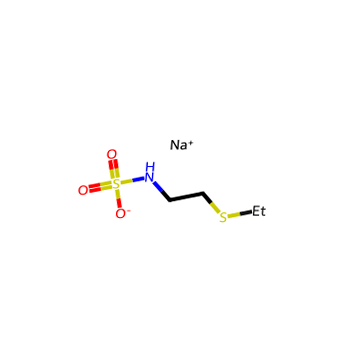 CCSCCNS(=O)(=O)[O-].[Na+]